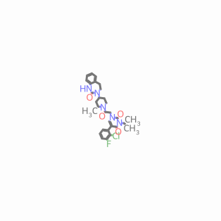 CC1CC(N2CCc3ccccc3NC2=O)CCN1C(=O)Cn1cc(-c2cccc(F)c2Cl)c(=O)n(C(C)C)c1=O